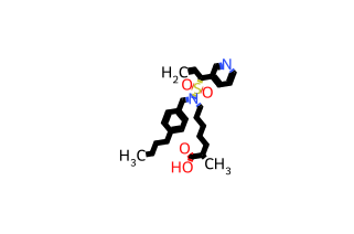 C=CC(c1cccnc1)S(=O)(=O)N(CCCCCC(C)C(=O)O)Cc1ccc(CCCC)cc1